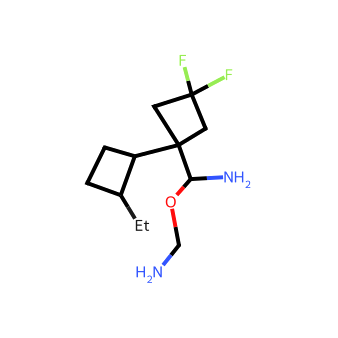 CCC1CCC1C1(C(N)OCN)CC(F)(F)C1